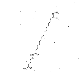 CC(=O)CCCSNC(=O)CCCCCCCCCCCCCCC/C(N)=N/N